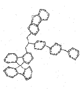 c1ccc(-c2ccc(-c3ccc(C(Cc4ccc5c(c4)oc4ccccc45)Cc4cccc5c4-c4ccccc4C54c5ccccc5-c5ccccc54)cc3)cc2)cc1